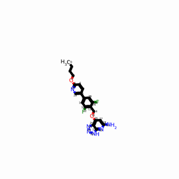 CCCCOc1ccc(-c2cc(F)c(COc3cc(N)nc4[nH]nnc34)c(F)c2)cn1